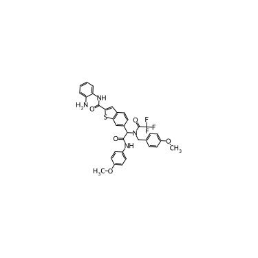 COc1ccc(CN(C(=O)C(F)(F)F)C(C(=O)Nc2ccc(OC)cc2)c2ccc3cc(C(=O)Nc4ccccc4N)sc3c2)cc1